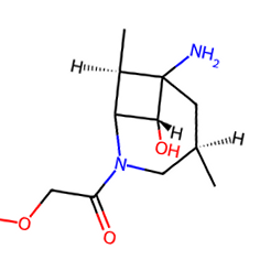 COCC(=O)N1C[C@H](C)CC2(N)[C@H](C)C1[C@H]2O